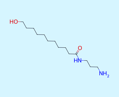 NCCCNC(=O)CCCCCCCCCCO